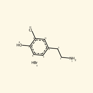 Br.NCCc1ccc(O)c(Cl)c1